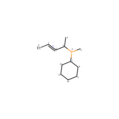 CC/C=C/C(C)P(C)C1CCCCC1